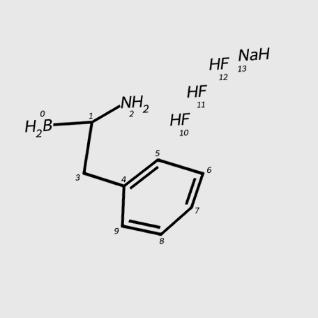 BC(N)Cc1ccccc1.F.F.F.[NaH]